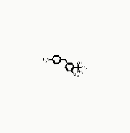 Nc1ccc(Cc2ccc(N)c(C(N)(O)C(F)(F)F)c2)cc1